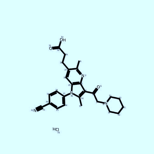 Cc1nc2c(C(=O)CN3CCCCC3)c(C)n(-c3ccc(C#N)cc3)c2cc1CCC(=O)O.Cl